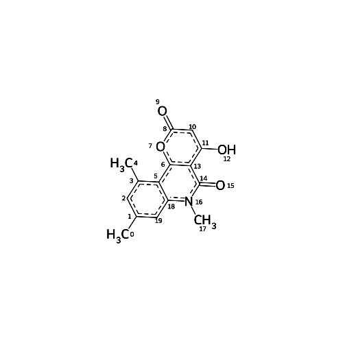 Cc1cc(C)c2c3oc(=O)cc(O)c3c(=O)n(C)c2c1